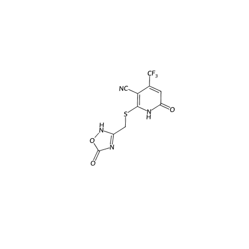 N#Cc1c(C(F)(F)F)cc(=O)[nH]c1SCc1nc(=O)o[nH]1